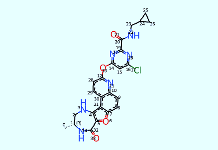 C[C@@H]1CNc2c(oc3ccc4nc(Oc5cc(Cl)nc(C(=O)NCC6CC6)n5)ccc4c23)C(=O)N1